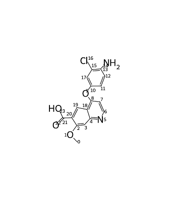 COc1cc2nccc(Oc3ccc(N)c(Cl)c3)c2cc1C(=O)O